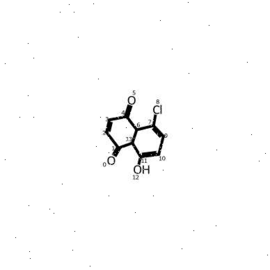 O=C1C=CC(=O)C2C(Cl)=CC=C(O)C12